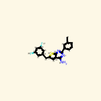 Cc1cccc(-c2nc(N)c3cc(Cc4cc(F)cc(F)c4)sc3n2)c1